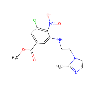 COC(=O)c1cc(Cl)c([N+](=O)[O-])c(NCCn2ccnc2C)c1